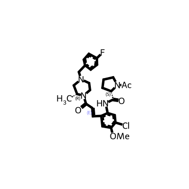 COc1cc(/C=C/C(=O)N2CCN(Cc3ccc(F)cc3)C[C@H]2C)c(NC(=O)[C@@H]2CCCN2C(C)=O)cc1Cl